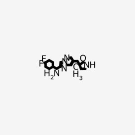 CC1(Cc2cnn3cc([C@@H](N)C4CCC(F)(F)CC4)nc3c2)CCNC1=O